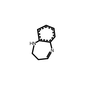 C1=Nc2ccccc2NCC1